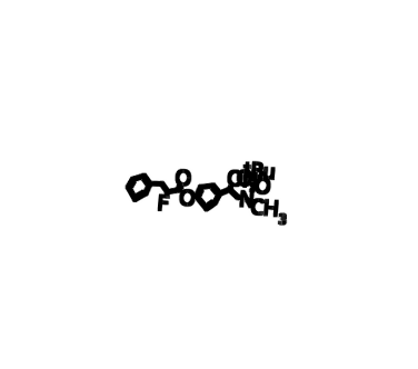 CN(CC(O)c1ccc(OC(=O)C(F)Cc2ccccc2)cc1)C(=O)OC(C)(C)C